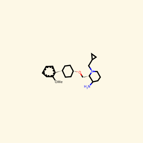 COc1ccccc1[C@H]1CC[C@@H](OC[C@H]2C(N)CCCN2CC2CC2)CC1